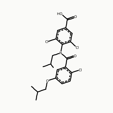 CC(C)COc1ccc(Cl)c(C(=O)N(CC(C)C)c2c(Cl)cc(C(=O)O)cc2Cl)c1